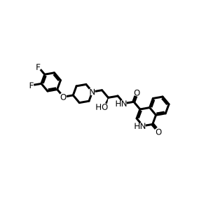 O=C(NC[C@@H](O)CN1CCC(Oc2ccc(F)c(F)c2)CC1)c1c[nH]c(=O)c2ccccc12